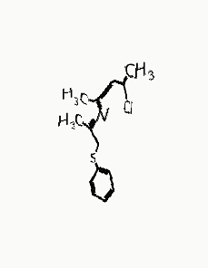 CC(=C/C(C)Cl)/N=C(\C)CSc1ccccc1